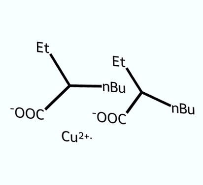 CCCCC(CC)C(=O)[O-].CCCCC(CC)C(=O)[O-].[Cu+2]